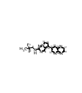 CC(F)(F)CNc1ncc2c(-c3cnc4nccnc4c3)ccn2n1